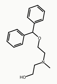 CN(CCO)CCOC(c1ccccc1)c1ccccc1